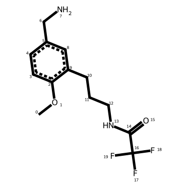 COc1ccc(CN)cc1CCCNC(=O)C(F)(F)F